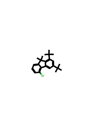 CC(C)(C)c1cc2c(c(C(C)(C)C)c1)C(C)(C)c1cccc(Br)c1-2